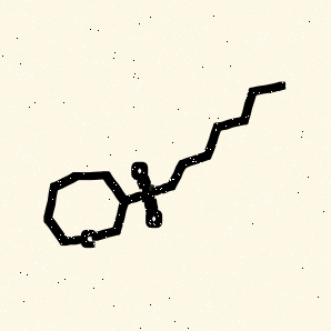 CCCCCCCS(=O)(=O)C1CCCCCCC1